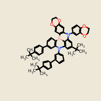 CC(C)(C)c1ccc(-c2cccc(N3c4cc(-c5ccc(C(C)(C)C)cc5)ccc4B4c5cc6c(cc5N(c5ccc7c(c5)OCCO7)c5cc(C(C)(C)C)cc3c54)OCCO6)c2)cc1